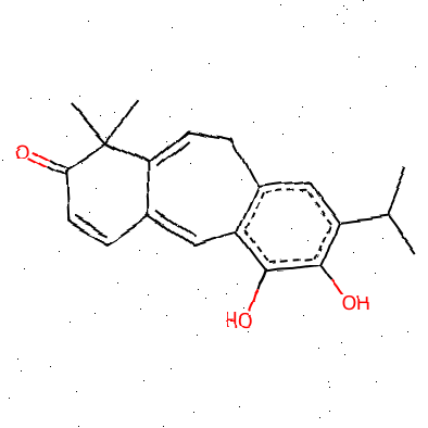 CC(C)c1cc2c(c(O)c1O)C=C1C=CC(=O)C(C)(C)C1=CC2